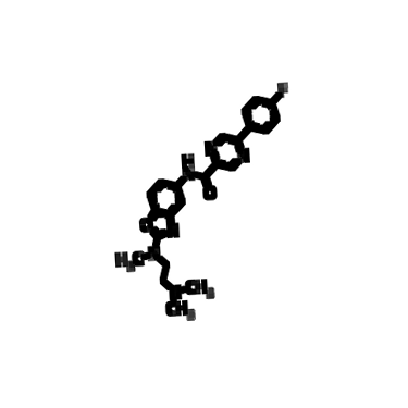 CN(C)CCN(C)c1nc2cc(NC(=O)c3cnc(-c4ccc(F)cc4)cn3)ccc2o1